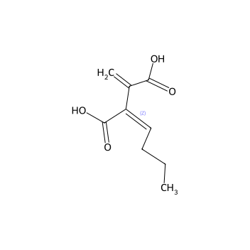 C=C(C(=O)O)/C(=C/CCC)C(=O)O